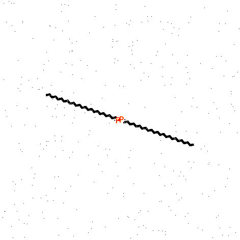 CCCCCCCCCCCCCCCCCCCCCCCC[P][P]CCCCCCCCCCCCCCCCCCCCCCCC